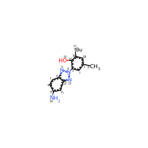 Cc1cc(-n2nc3ccc(N)cc3n2)c(O)c(C(C)(C)C)c1